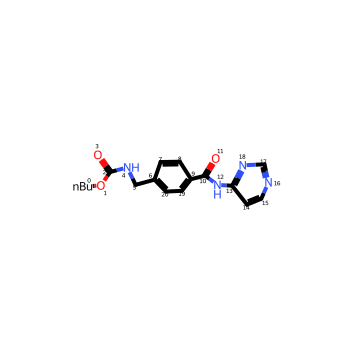 CCCCOC(=O)NCc1ccc(C(=O)Nc2ccncn2)cc1